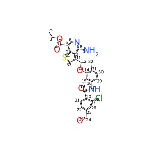 CCOC(=O)c1cnc(N)c2c(COc3cc(NC(=O)c4ccc(C=O)cc4Cl)ccc3C)csc12